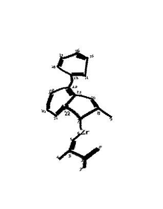 C=C(C)C(C)=[CH][Zr][CH]1C(C)=Cc2c(-c3ccccc3)cccc21